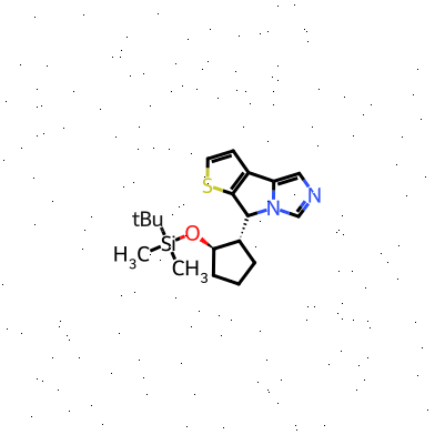 CC(C)(C)[Si](C)(C)O[C@@H]1CCC[C@H]1C1c2sccc2-c2cncn21